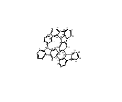 c1ccc(-n2c3ccccc3c3cc(-c4cccc5c6ccccc6n(-c6ccc7c(c6)c6cccc8c9ccccc9n7c86)c45)ccc32)cc1